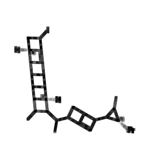 CC(C1CC2C1=CC2C1C(C)[C@@H]1C(C)C)C1C(C)C2C3C4C(C5=C6C(I)C[C@@H]6C54)C3[C@@H]12